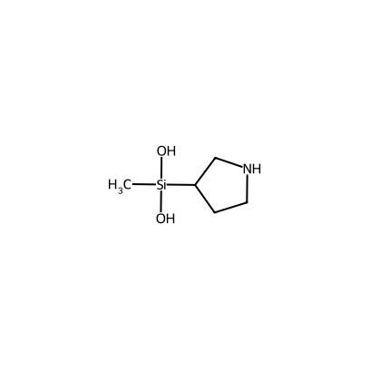 C[Si](O)(O)C1CCNC1